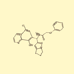 O=C(COc1ccccc1)NC(c1cc2n(n1)CCC2)c1cc(Cl)c2cccnc2c1O